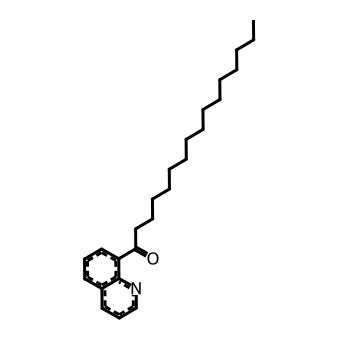 CCCCCCCCCCCCCCCC(=O)c1cccc2cccnc12